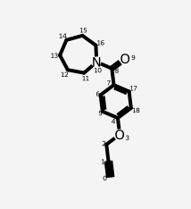 C#CCOc1ccc(C(=O)N2CCCCCC2)cc1